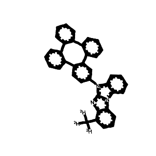 [2H]C([2H])([2H])c1cccc2c1nc1n(-c3ccc4c(c3)-c3ccccc3-c3ccccc3-c3ccccc3-4)c3ccccc3n21